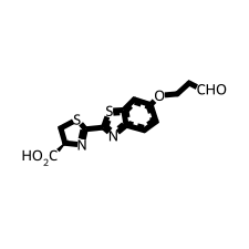 O=CCCOc1ccc2nc(C3=N[C@@H](C(=O)O)CS3)sc2c1